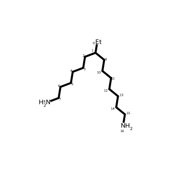 CCC(CCCCCCN)CCCCCCCN